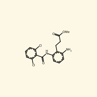 COC(=O)CCc1c(N)cccc1NC(=O)c1c(Cl)cccc1Cl